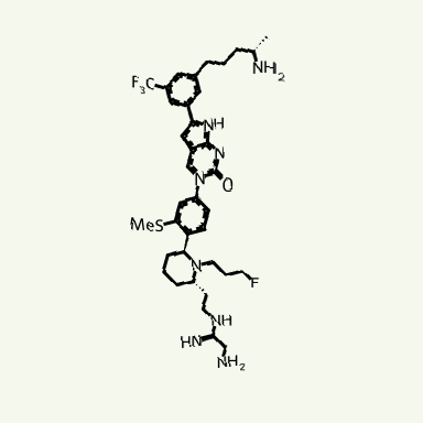 CSc1cc(-n2cc3cc(-c4cc(CCC[C@H](C)N)cc(C(F)(F)F)c4)[nH]c3nc2=O)ccc1[C@@H]1CCC[C@@H](CCNC(=N)CN)N1CCCF